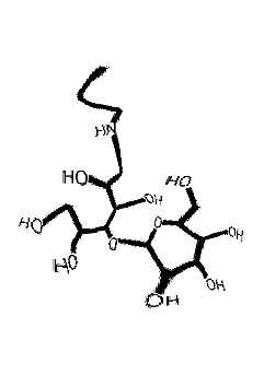 CCCNCC(O)C(O)C(OC1OC(CO)C(O)C(O)C1O)C(O)CO